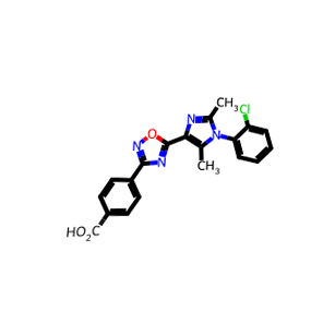 Cc1nc(-c2nc(-c3ccc(C(=O)O)cc3)no2)c(C)n1-c1ccccc1Cl